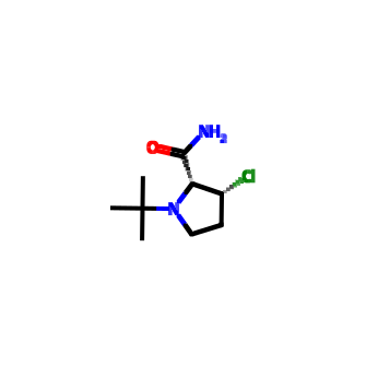 CC(C)(C)N1CC[C@@H](Cl)[C@H]1C(N)=O